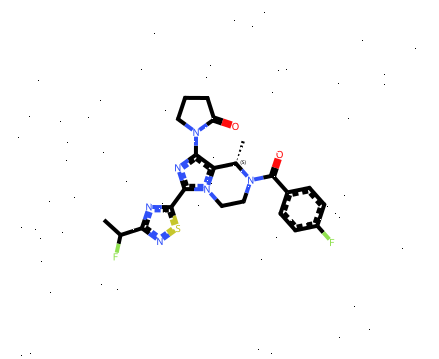 CC(F)c1nsc(-c2nc(N3CCCC3=O)c3n2CCN(C(=O)c2ccc(F)cc2)[C@H]3C)n1